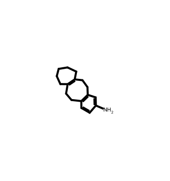 Nc1ccc2c(c1)CCC1=C(CCCCC1)CC2